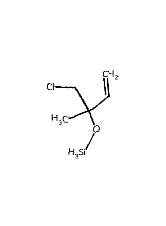 C=CC(C)(CCl)O[SiH3]